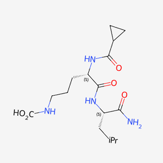 CC(C)C[C@H](NC(=O)[C@H](CCCNC(=O)O)NC(=O)C1CC1)C(N)=O